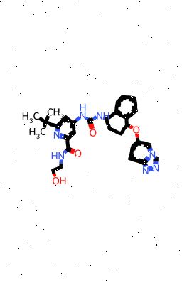 CC(C)(C)c1cc(NC(=O)NC2CCC(Oc3ccc4nncn4c3)c3ccccc32)cc(C(=O)NCCO)n1